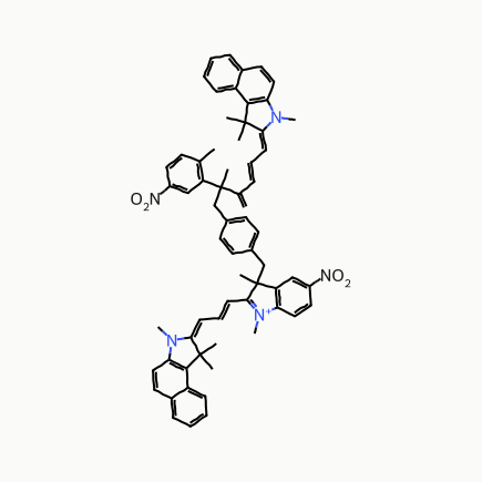 C=C(/C=C/C=C1/N(C)c2ccc3ccccc3c2C1(C)C)C(C)(Cc1ccc(CC2(C)C(/C=C/C=C3/N(C)c4ccc5ccccc5c4C3(C)C)=[N+](C)c3ccc([N+](=O)[O-])cc32)cc1)c1cc([N+](=O)[O-])ccc1C